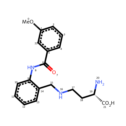 COc1cccc(C(=O)Nc2ccccc2CNCC[C@H](N)C(=O)O)c1